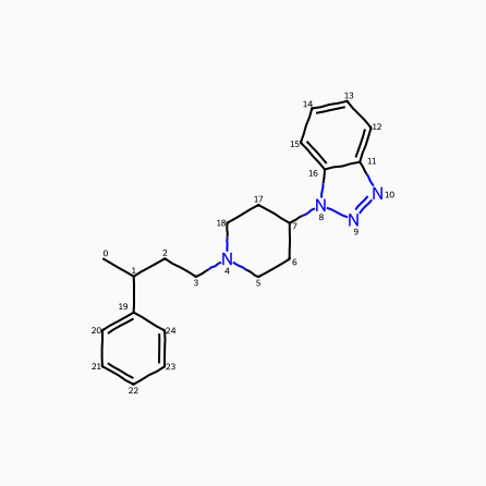 CC(CCN1CCC(n2nnc3ccccc32)CC1)c1ccccc1